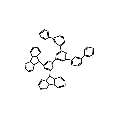 C1=CC2C3C=CC=CC3C(c3cc(-c4cc(-c5cccc(-c6ccccc6)c5)nc(-c5cccc(-c6ccccc6)c5)c4)cc(C4C5C=CC=CC5C5C=CC=CC54)c3)C2C=C1